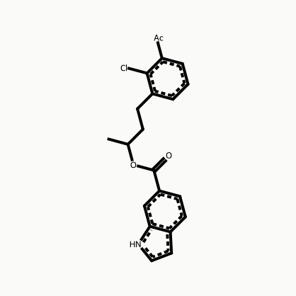 CC(=O)c1cccc(CCC(C)OC(=O)c2ccc3cc[nH]c3c2)c1Cl